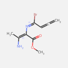 C=C=C/C(Br)=N\C(C(=O)OC)=C(/C)N